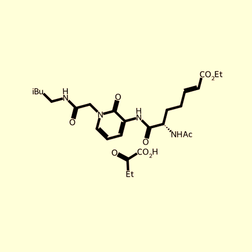 CCC(=O)C(=O)O.CCOC(=O)/C=C/CC[C@H](NC(C)=O)C(=O)Nc1cccn(CC(=O)NCC(C)CC)c1=O